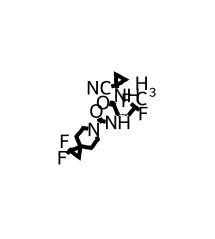 CC(F)(F)C[C@H](NC(=O)N1CCC2(CC1)CC2(F)F)C(=O)NC1(C#N)CC1